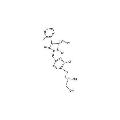 CCC/N=C1/N(c2ccccc2C)C(=O)/C(=C/c2ccc(OC[C@H](O)CO)c(Cl)c2)[S+]1[O-]